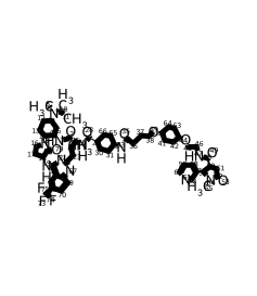 CC(=O)N[C@@H]1CC(N(C)C(C)C)CC[C@@H]1N1CC[C@H](Nc2nc(CCCNC(=O)[C@H]3CC[C@H](NC(=O)CCCO[C@H]4CC[C@H](OCCNC(=O)[C@H]5CC(=O)N(C)[C@@H]5c5cccnc5)CC4)CC3)nc3ccc(C(F)(F)F)cc23)C1=O